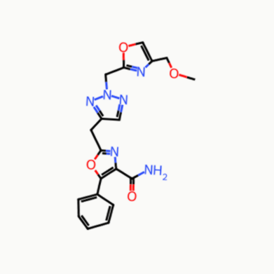 COCc1coc(Cn2ncc(Cc3nc(C(N)=O)c(-c4ccccc4)o3)n2)n1